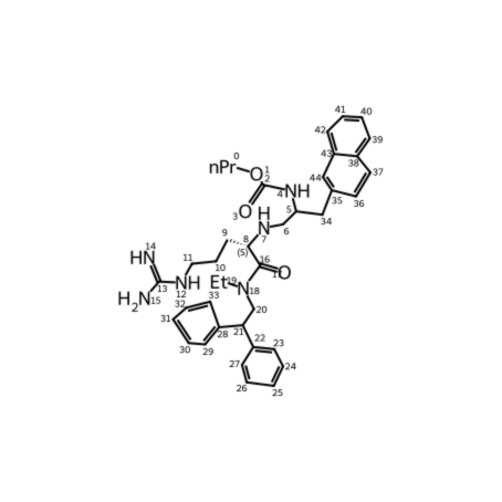 CCCOC(=O)NC(CN[C@@H](CCCNC(=N)N)C(=O)N(CC)CC(c1ccccc1)c1ccccc1)Cc1ccc2ccccc2c1